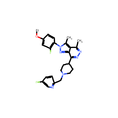 CCOc1ccc(-n2nc3c(C4CCN(Cc5ccc(F)cn5)CC4)nnc(C)c3c2C)c(F)c1